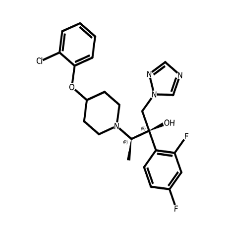 C[C@@H](N1CCC(Oc2ccccc2Cl)CC1)[C@](O)(Cn1cncn1)c1ccc(F)cc1F